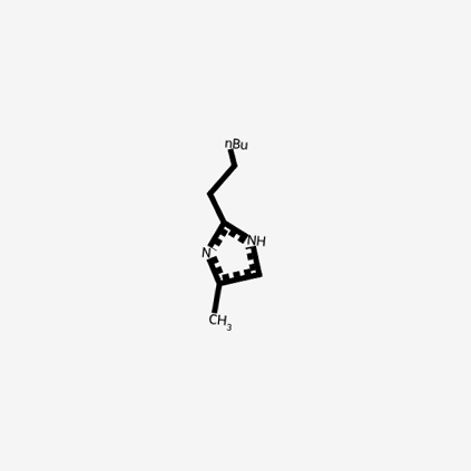 CCCCCCc1nc(C)c[nH]1